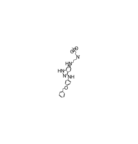 CN(CCCNN1C=CC2=C(Nc3ccc(OCc4ccccc4)cc3)N=CNC2=C1)CCS(C)(=O)=O